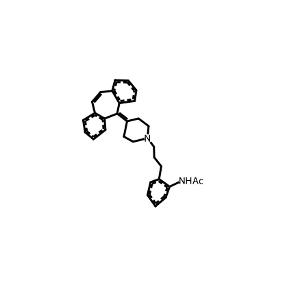 CC(=O)Nc1ccccc1CCCN1CCC(=C2c3ccccc3C=Cc3ccccc32)CC1